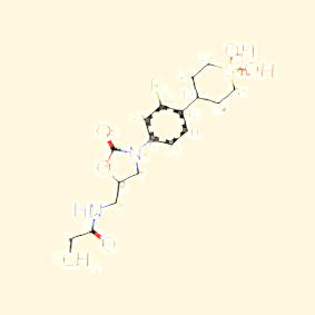 CCC(=O)NCC1CN(c2ccc(C3CCS(O)(O)CC3)c(F)c2)C(=O)O1